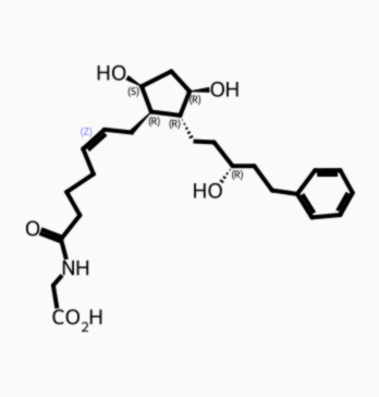 O=C(O)CNC(=O)CCC/C=C\C[C@@H]1[C@@H](CC[C@@H](O)CCc2ccccc2)[C@H](O)C[C@@H]1O